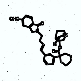 O=Cc1ccc2c(c1)CN(CCC=Cc1cccc(C3(C(=O)O[C@H]4CN5CCC4CC5)CCCCC3)c1)C2=O